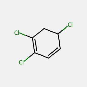 Cl[C]1C=CC(Cl)=C(Cl)C1